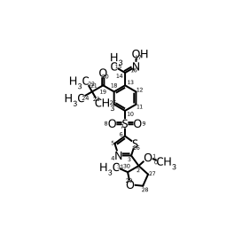 COC1(c2ncc(S(=O)(=O)c3ccc(/C(C)=N/O)c(C(=O)C(C)(C)C)c3)s2)CCOC1C